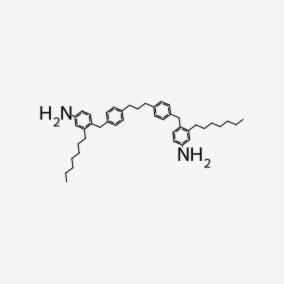 CCCCCCCc1cc(N)ccc1Cc1ccc(CCCc2ccc(Cc3ccc(N)cc3CCCCCCC)cc2)cc1